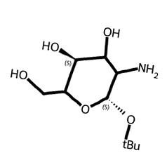 CC(C)(C)O[C@@H]1OC(CO)[C@@H](O)C(O)C1N